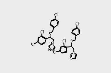 Clc1ccc(CSC(Cn2ccnc2)c2ccc(Cl)cc2Cl)cc1.Clc1ccc(CSC(Cn2ccnc2)c2ccc(Cl)cc2Cl)cc1